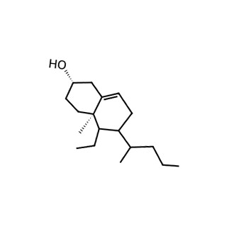 CCCC(C)C1CC=C2C[C@@H](O)CC[C@]2(C)C1CC